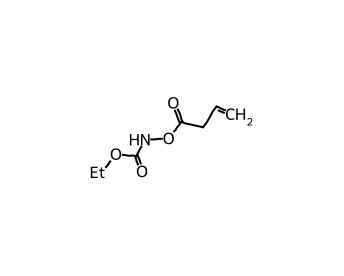 C=CCC(=O)ONC(=O)OCC